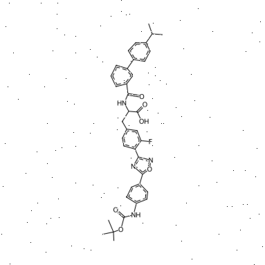 CC(C)c1ccc(-c2cccc(C(=O)NC(Cc3ccc(-c4noc(-c5ccc(NC(=O)OC(C)(C)C)cc5)n4)c(F)c3)C(=O)O)c2)cc1